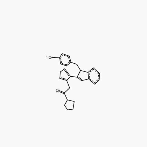 O=C(CC1=CCC=C1C1=Cc2ccccc2C1Cc1ccc(O)cc1)C1CCCC1